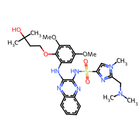 COc1cc(Nc2nc3ccccc3nc2NS(=O)(=O)c2cn(C)c(CN(C)C)n2)c(OCCC(C)(C)O)c(OC)c1